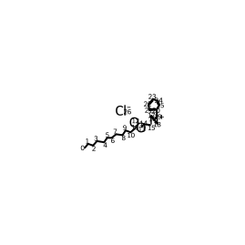 CCCCCCCCCCCC(=O)OCC[N+](C)(C)Cc1ccccc1.[Cl-]